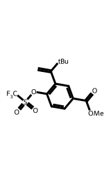 C=C(c1cc(C(=O)OC)ccc1OS(=O)(=O)C(F)(F)F)C(C)(C)C